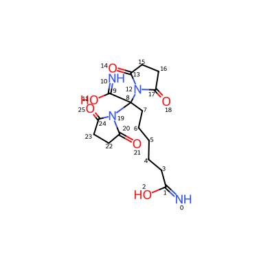 N=C(O)CCCCCC(C(=N)O)(N1C(=O)CCC1=O)N1C(=O)CCC1=O